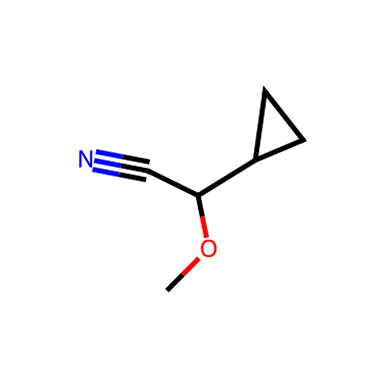 COC(C#N)C1CC1